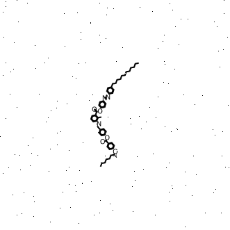 CCCCCCCCCCCCc1ccc(N=Nc2ccc(OC(=O)c3cccc(N=Cc4ccc(OC(=O)c5ccc(O[C@@H](C)CCCCCC)cc5)cc4)c3C)cc2)cc1